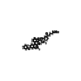 C=C(N[C@@H]1CCCN(C(=O)/C=C/CNC)C1)c1sc2nccc3c2c1NC(=O)N3c1ccc(Oc2ccccc2)cc1C